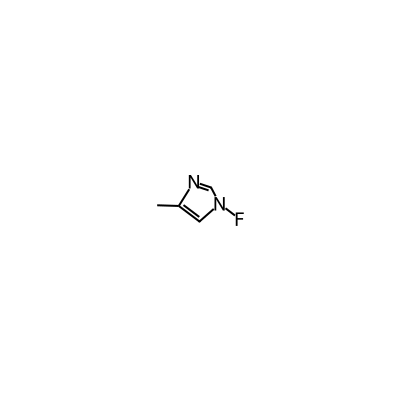 Cc1cn(F)cn1